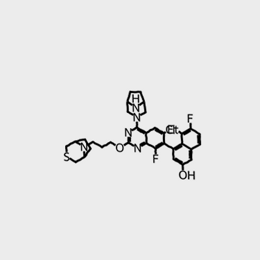 CCc1c(F)ccc2cc(O)cc(-c3c(Cl)cc4c(N5CC6CCC(C5)N6)nc(OCCCN5C6CCC5CSC6)nc4c3F)c12